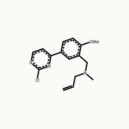 C=CCN(C)Cc1cc(-c2ccnc(Cl)n2)ccc1OC